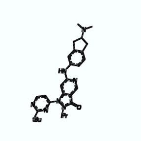 CC(C)n1c(=O)c2cnc(Nc3ccc4c(c3)CC(N(C)C)C4)cc2n1-c1ccnc(C(C)(C)C)n1